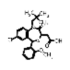 COc1ccccc1C1SC(CC(=O)O)C(=O)N(CC(C)(C)C)c2ccc(Cl)cc21